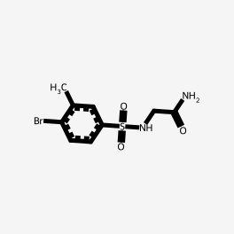 Cc1cc(S(=O)(=O)NCC(N)=O)ccc1Br